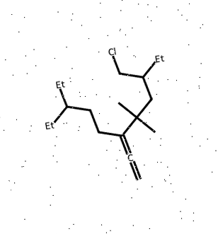 C=C=C(CCC(CC)CC)C(C)(C)CC(CC)CCl